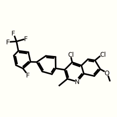 COc1cc2nc(C)c(-c3ccc(-c4cc(C(F)(F)F)ccc4F)cc3)c(Cl)c2cc1Cl